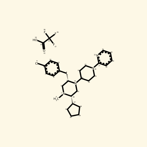 CN1C[C@H](Cc2ccc(Cl)cc2)N(C2CCN(c3ccccn3)CC2)C[C@@H]1C1CCCC1.O=C(O)C(F)(F)F